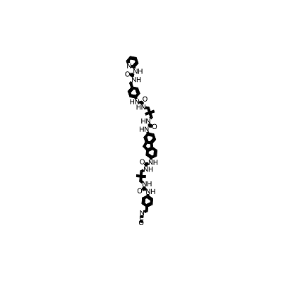 CC(C)(CNC(=O)Nc1ccc(CN=C=O)cc1)CNC(=O)Nc1ccc2c(c1)Cc1cc(NC(=O)NCC(C)(C)CNC(=O)Nc3ccc(CNC(=O)Nc4ccccn4)cc3)ccc1-2